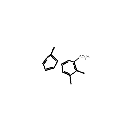 Cc1cccc(S(=O)(=O)O)c1C.Cc1ccccc1